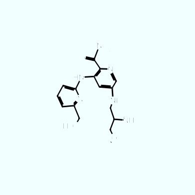 CCc1cccc(Nc2cc(NCC(N)COC)cnc2C(N)=O)n1